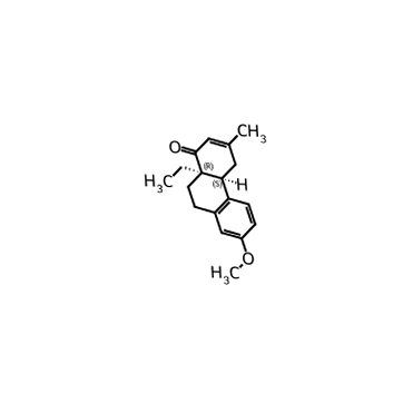 CC[C@@]12CCc3cc(OC)ccc3[C@@H]1CC(C)=CC2=O